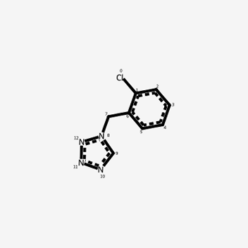 Clc1ccccc1Cn1cnnn1